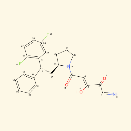 N=CC(=O)/C(O)=C/C(=O)N1CCC[C@@H]1C[C@H](c1ccccc1)c1cc(F)ccc1F